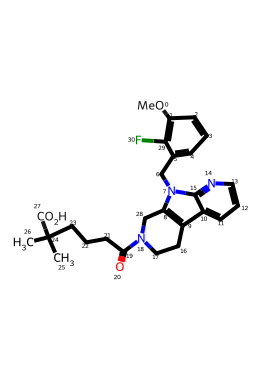 COc1cccc(Cn2c3c(c4cccnc42)CCN(C(=O)CCCC(C)(C)C(=O)O)C3)c1F